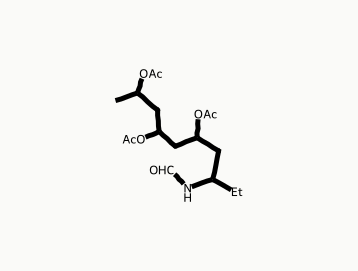 CCC(CC(CC(CC(C)OC(C)=O)OC(C)=O)OC(C)=O)NC=O